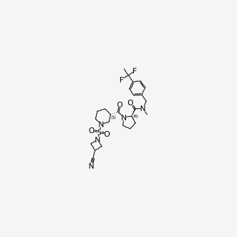 CN(Cc1ccc(C(C)(F)F)cc1)C(=O)[C@H]1CCCN1C(=O)[C@H]1CCCN(S(=O)(=O)N2CC(C#N)C2)C1